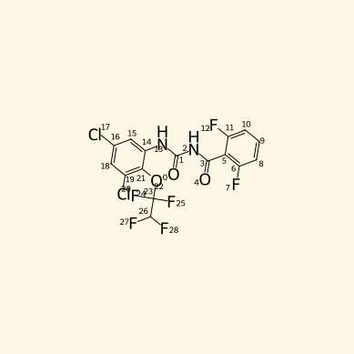 O=C(NC(=O)c1c(F)cccc1F)Nc1cc(Cl)cc(Cl)c1OC(F)(F)C(F)F